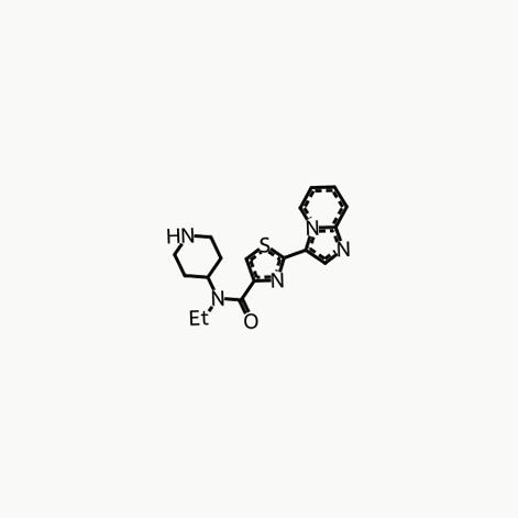 CCN(C(=O)c1csc(-c2cnc3ccccn23)n1)C1CCNCC1